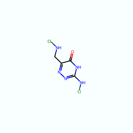 O=c1[nH]c(NCl)nnc1CNCl